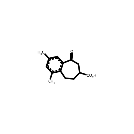 Cc1cc(C)c2c(c1)C(=O)CC(C(=O)O)CC2